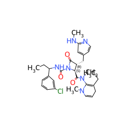 CCC1=C(N(C)C(=O)[C@@H]2[C@@H](Cc3ccnc(NC)c3)C(=O)N2C(=O)NC(CC)c2cccc(Cl)c2)N(C)C=CC1